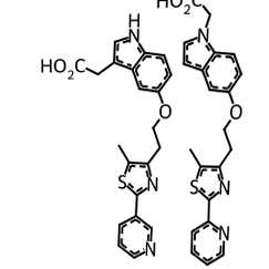 Cc1sc(-c2ccccn2)nc1CCOc1ccc2c(ccn2CC(=O)O)c1.Cc1sc(-c2cccnc2)nc1CCOc1ccc2[nH]cc(CC(=O)O)c2c1